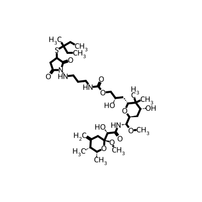 C=C1C[C@](OC)([C@H](O)C(=O)N[C@@H](OC)[C@@H]2C[C@@H](O)C(C)(C)[C@@H](C[C@H](O)COC(=O)NCCCNN3C(=O)CC(SC(C)(CC)CC)C3=O)O2)O[C@H](C)[C@@H]1C